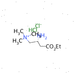 CCOC(=O)C[C@@H](N)C[N+](C)(C)C.Cl.[Cl-]